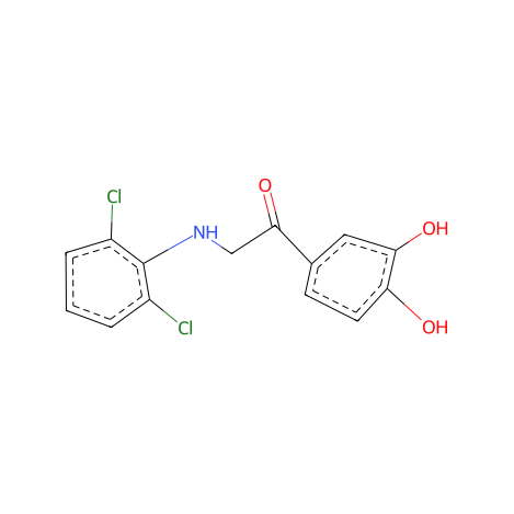 O=C(CNc1c(Cl)cccc1Cl)c1ccc(O)c(O)c1